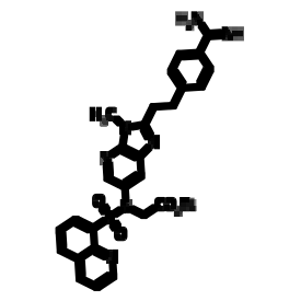 CCOC(=O)CN(c1cnc2c(c1)nc(CCc1ccc(C(=N)N)cc1)n2C)S(=O)(=O)c1cccc2cccnc12